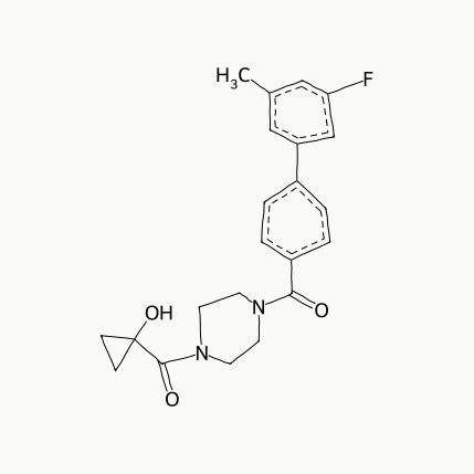 Cc1cc(F)cc(-c2ccc(C(=O)N3CCN(C(=O)C4(O)CC4)CC3)cc2)c1